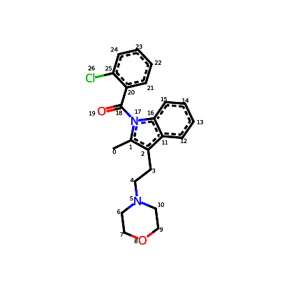 Cc1c(CCN2CCOCC2)c2ccccc2n1C(=O)c1ccccc1Cl